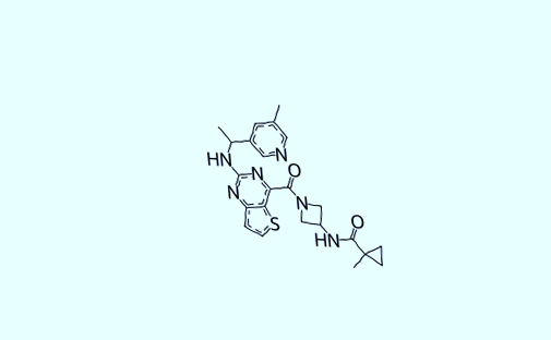 Cc1cncc(C(C)Nc2nc(C(=O)N3CC(NC(=O)C4(C)CC4)C3)c3sccc3n2)c1